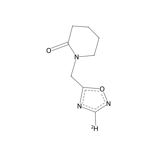 [2H]c1noc(CN2CCCCC2=O)n1